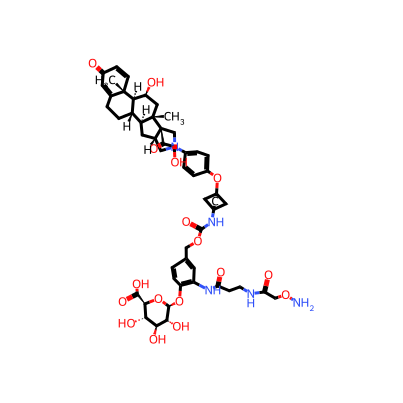 C[C@]12C=CC(=O)C=C1CC[C@@H]1[C@@H]2[C@@H](O)C[C@@]2(C)[C@H]1C[C@H]1CN(c3ccc(OC45CC(NC(=O)OCc6ccc(O[C@@H]7O[C@H](C(=O)O)[C@@H](O)[C@H](O)[C@H]7O)c(NC(=O)CCNC(=O)CON)c6)(C4)C5)cc3)C[C@]12C(=O)CO